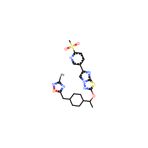 CC(C)c1noc(CC2CCC(C(C)Oc3nn4cc(-c5ccc(S(C)(=O)=O)nc5)nc4s3)CC2)n1